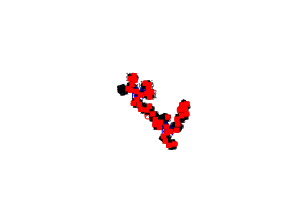 c1ccc(-c2cc(-c3ccccc3)cc(-c3nc(-c4cccc(-c5ccc6c(ccc7c8ccc(-c9cccc%10c9c9ccccc9n%10-c9nc(-c%10cccc(-c%11ccccc%11)c%10)nc(-c%10cccc(-c%11ccc%12c(ccc%13c%14ccccc%14oc%12%13)c%11)c%10)n9)cc8oc67)c5)c4)nc(-n4c5ccccc5c5ccccc54)n3)c2)cc1